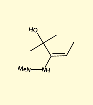 C/C=C(/NNC)C(C)(C)O